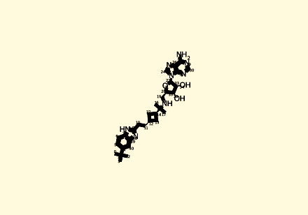 CC(C)(C)c1ccc2[nH]c(CC[C@H]3C[C@H](C(C)(C)NC[C@H]4O[C@@H](n5cnc6c(N)ncnc65)[C@H](O)[C@@H]4O)C3)nc2c1